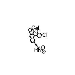 COC(=O)NC(C)(C)C#Cc1ccc2cc(C)c(C(OC(C)(C)C)C(=O)O)c(-c3ccc(Cl)cc3)c2c1